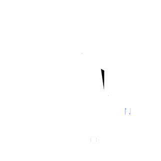 C1=N[C@H](Cc2ccccc2)CO1